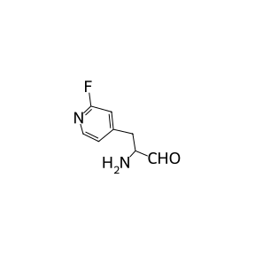 NC(C=O)Cc1ccnc(F)c1